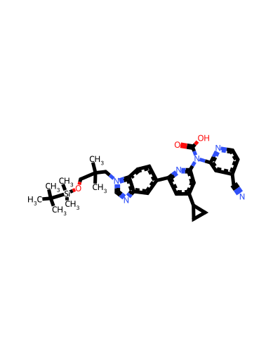 CC(C)(CO[Si](C)(C)C(C)(C)C)Cn1cnc2cc(-c3cc(C4CC4)cc(N(C(=O)O)c4cc(C#N)ccn4)n3)ccc21